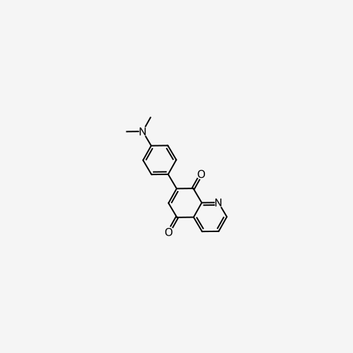 CN(C)c1ccc(C2=CC(=O)c3cccnc3C2=O)cc1